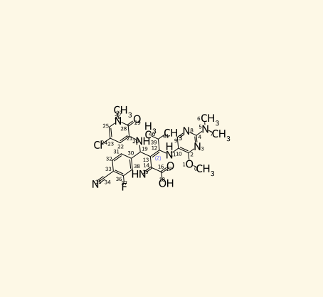 COc1nc(N(C)C)ncc1N/C(=C(\C(=N)C(=O)O)C(Nc1cc(Cl)cn(C)c1=O)c1ccc(C#N)c(F)c1)C(C)C